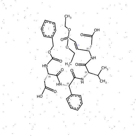 CCOP(=O)(/C=C/[C@H](CC(=O)O)NC(=O)[C@@H](NC(=O)[C@@H](NC(=O)[C@H](CC(=O)O)NC(=O)OCc1ccccc1)c1ccccc1)C(C)C)OCC